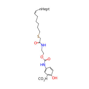 CCCCCCC/C=C\CCCCCSCC(=O)NCCOC(=O)Nc1ccc(O)c(C(=O)O)c1